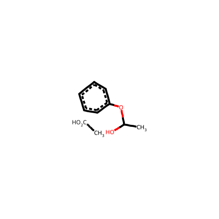 CC(=O)O.CC(O)Oc1ccccc1